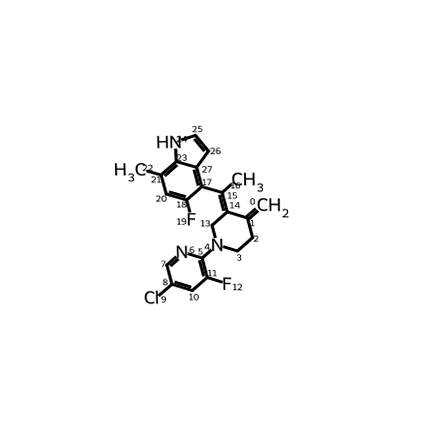 C=C1CCN(c2ncc(Cl)cc2F)C/C1=C(/C)c1c(F)cc(C)c2[nH]ccc12